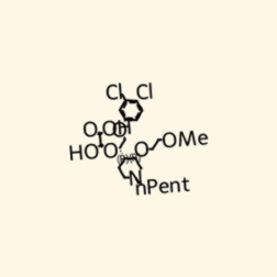 CCCCCN1CC[C@H](CCOc2ccc(Cl)c(Cl)c2)[C@@H](OCCOC)C1.O=C(O)C(=O)O